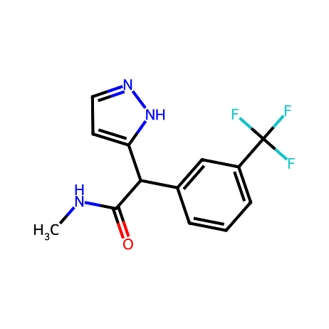 CNC(=O)C(c1cccc(C(F)(F)F)c1)c1ccn[nH]1